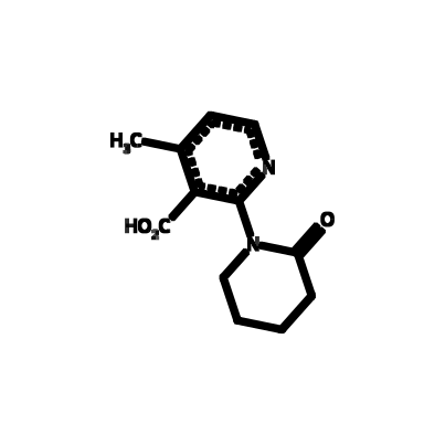 Cc1ccnc(N2CCCCC2=O)c1C(=O)O